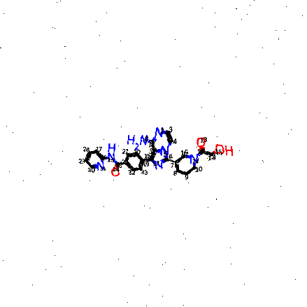 Nc1nccn2c([C@@H]3CCCN(C(=O)CO)C3)nc(-c3ccc(C(=O)Nc4ccccn4)cc3)c12